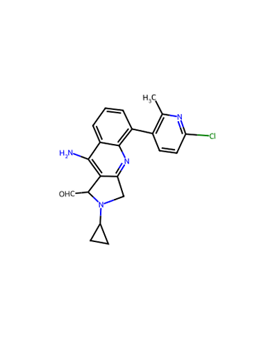 Cc1nc(Cl)ccc1-c1cccc2c(N)c3c(nc12)CN(C1CC1)C3C=O